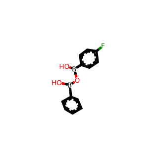 OB(OB(O)c1ccc(F)cc1)c1ccccc1